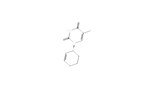 Cc1cn([C@@H]2C=C[C@@H](O)CC2)c(=O)[nH]c1=O